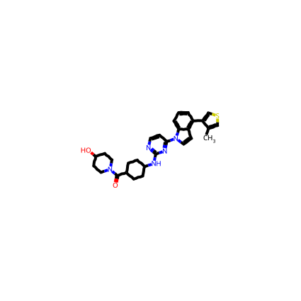 Cc1cscc1-c1cccc2c1ccn2-c1ccnc(NC2CCC(C(=O)N3CCC(O)CC3)CC2)n1